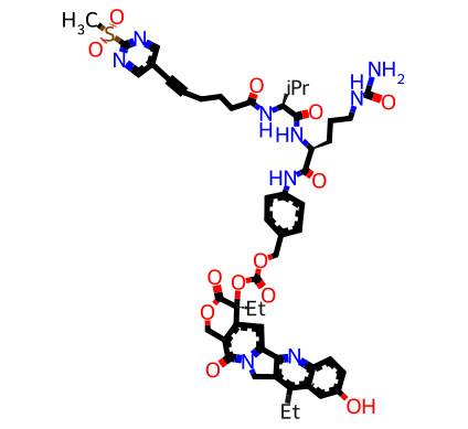 CCc1c2c(nc3ccc(O)cc13)-c1cc3c(c(=O)n1C2)COC(=O)[C@@]3(CC)OC(=O)OCc1ccc(NC(=O)[C@H](CCCNC(N)=O)NC(=O)[C@@H](NC(=O)CCCC#Cc2cnc(S(C)(=O)=O)nc2)C(C)C)cc1